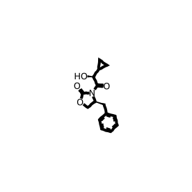 O=C1OC[C@H](Cc2ccccc2)N1C(=O)[C@@H](O)C1CC1